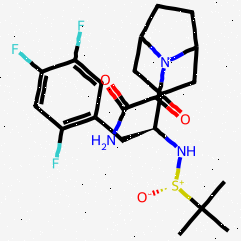 CC(C)(C)[S@+]([O-])N[C@@H](Cc1cc(F)c(F)cc1F)C1CC2CCC(C1)N2C(=O)C(N)=O